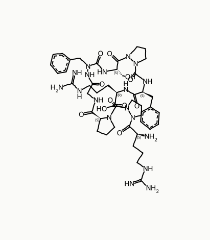 N=C(N)NCCC[C@H](N)C(=O)N1CCCN1C(=O)N1CCC[C@H]1C(=O)NCC(=O)NN(Cc1ccccc1)C(=O)N[C@@H](CO)C(=O)N1CCCN1C(=O)N[C@@H](Cc1ccccc1)C(=O)N[C@H](CCCNC(=N)N)C(=O)O